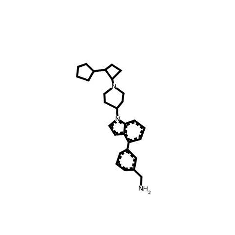 NCc1cccc(-c2cccc3c2ccn3C2CCN(C3CCC3C3CCCC3)CC2)c1